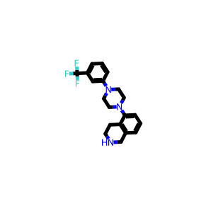 FC(F)(F)c1cccc(N2CCN(c3cccc4c3CCNC4)CC2)c1